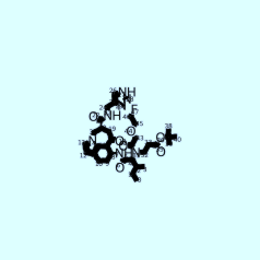 CCC(C)C(C(=O)N[C@H]1CCc2ccn3c2C1C(=O)C[C@H](C(=O)NCc1c[nH]nn1)C3)N(CCC(=O)OC(C)(C)C)C(=O)COCCF